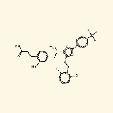 Cc1cc(SC(C)c2sc(-c3ccc(C(F)(F)F)cc3)nc2CCc2c(F)cccc2Cl)ccc1OCC(=O)O